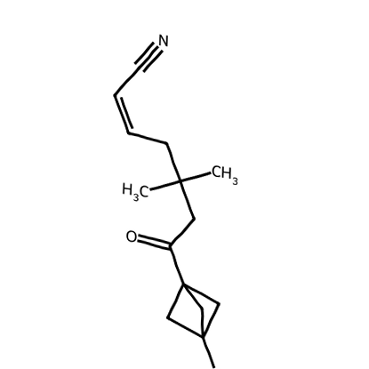 CC(C)(C/C=C\C#N)CC(=O)C12CC(C)(C1)C2